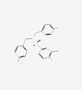 COc1ccc(CN(Cc2ccc(OC)cc2)S(=O)(=O)c2ccc(C#N)c(C)c2)cc1